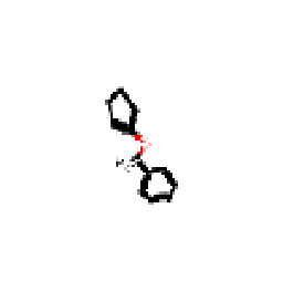 C1=C(O[SiH2]c2ccccc2)CCC1